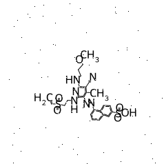 C=CS(=O)(=O)CCNc1nc(NCCCOC)c(C#N)c(C)c1/N=N/c1cccc2cc(S(=O)(=O)O)ccc12